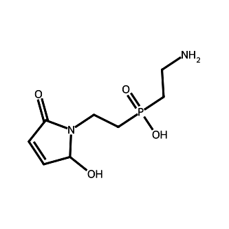 NCCP(=O)(O)CCN1C(=O)C=CC1O